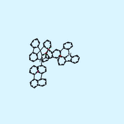 c1ccc(-c2cccc3cccc(-c4ccc(N(c5ccc6cc(-c7ccccc7-n7c8ccccc8c8ccccc87)ccc6c5)c5cccc6c5C5(c7ccccc7-c7ccccc75)c5ccccc5-6)cc4)c23)cc1